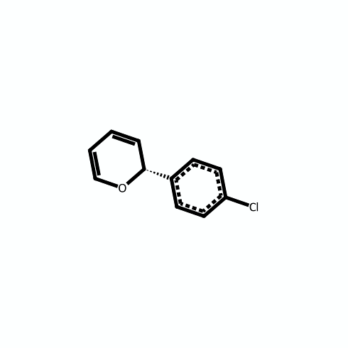 Clc1ccc([C@H]2C=CC=CO2)cc1